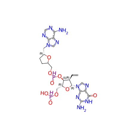 C=C[C@@H]1[C@H](O[PH](=O)OCC2CC[C@H](Cn3cnc4c(N)ncnc43)O2)[C@@H](CO[PH](=O)O)O[C@H]1n1cnc2c(=O)[nH]c(N)nc21